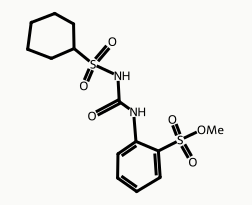 COS(=O)(=O)c1ccccc1NC(=O)NS(=O)(=O)C1CCCCC1